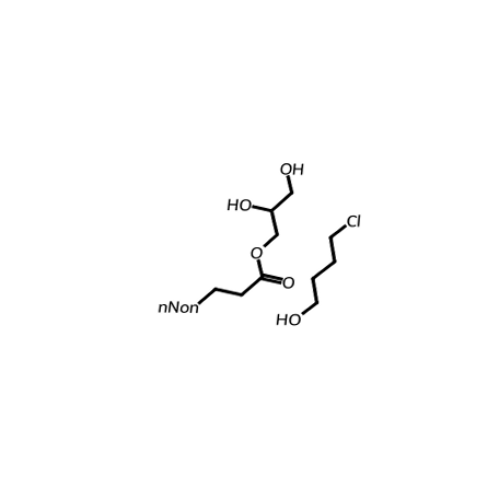 CCCCCCCCCCCC(=O)OCC(O)CO.OCCCCCl